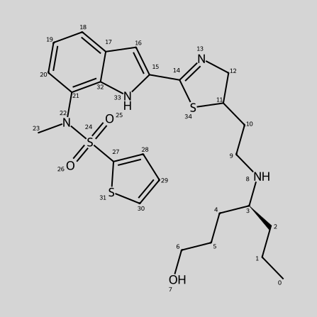 CCC[C@@H](CCCO)NCCC1CN=C(c2cc3cccc(N(C)S(=O)(=O)c4cccs4)c3[nH]2)S1